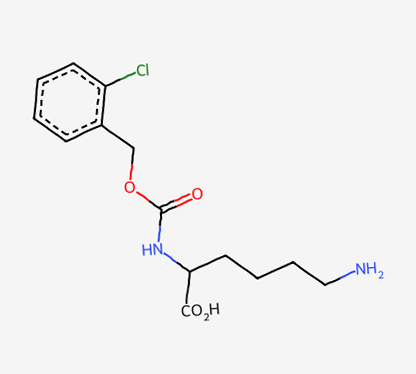 NCCCCC(NC(=O)OCc1ccccc1Cl)C(=O)O